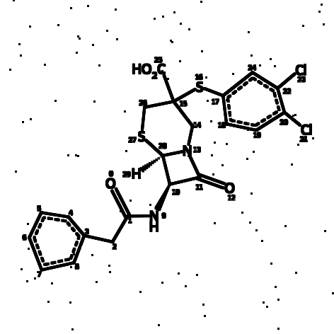 O=C(Cc1ccccc1)N[C@@H]1C(=O)N2CC(Sc3ccc(Cl)c(Cl)c3)(C(=O)O)CS[C@H]12